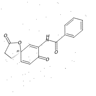 O=C1CC[C@]2(C=CC(=O)C(NC(=O)c3ccccc3)=C2)O1